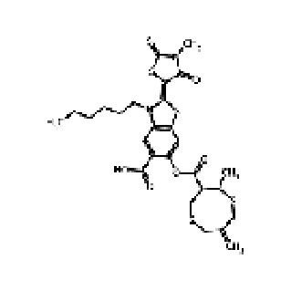 C=C1CSCC(C(=O)Oc2cc3c(cc2C(=O)O)N(CCCCCC)/C(=C2\SC(=S)N(C)C2=O)S3)C(C)SC1